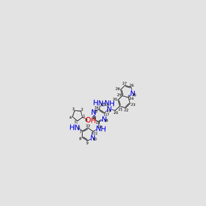 OC1CCC[C@H]1Nc1ccnc(Nc2cnc3c(n2)N(Cc2ccc4ncccc4c2)NN3)c1